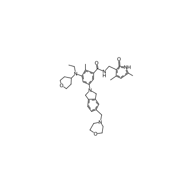 CCN(c1cc(N2Cc3ccc(CN4CCOCC4)cc3C2)cc(C(=O)NCc2c(C)cc(C)[nH]c2=O)c1C)C1CCOCC1